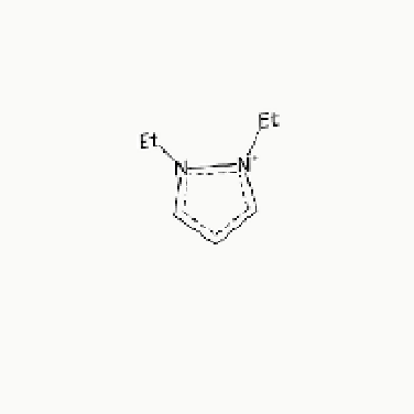 CCn1ccc[n+]1CC